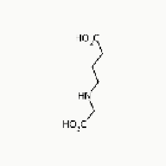 O=C(O)CCCNCC(=O)O